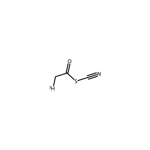 [3H]CC(=O)SC#N